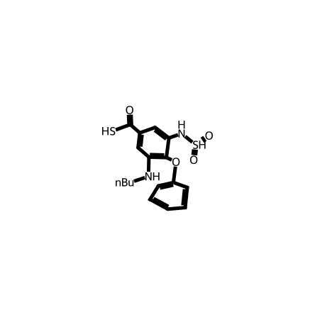 CCCCNc1cc(C(=O)S)cc(N[SH](=O)=O)c1Oc1ccccc1